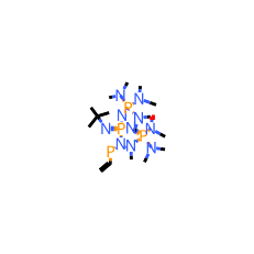 C=CP=NP(=NC(C)(C)C)(N=P(N(C)C)(N(C)C)N(C)C)N=P(N(C)C)(N(C)C)N(C)C